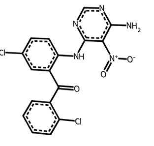 Nc1ncnc(Nc2ccc(Cl)cc2C(=O)c2ccccc2Cl)c1[N+](=O)[O-]